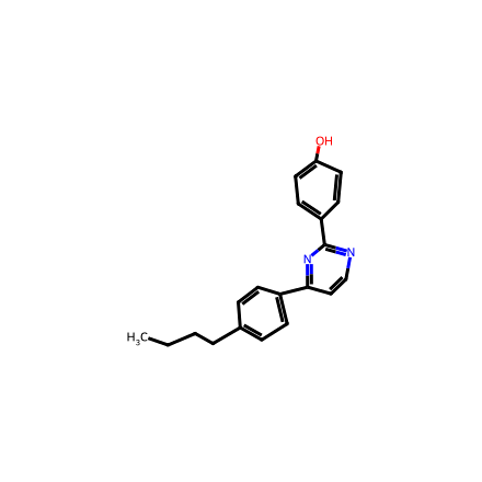 CCCCc1ccc(-c2ccnc(-c3ccc(O)cc3)n2)cc1